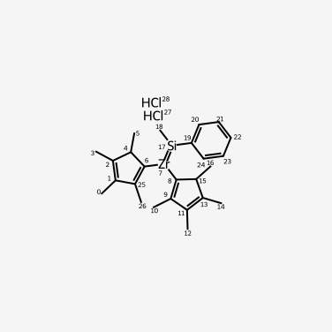 CC1=C(C)C(C)[C]([Zr]([C]2=C(C)C(C)=C(C)C2C)=[Si](C)c2ccccc2)=C1C.Cl.Cl